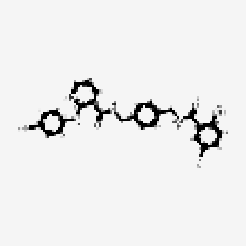 O=C([AsH]Cc1ccc(CNC(=O)c2cccnc2Oc2ccc(F)cc2)cc1)c1cc(F)ccc1O